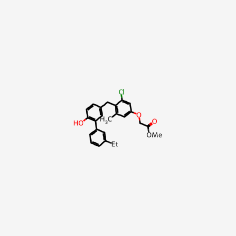 CCc1cccc(-c2cc(Cc3c(C)cc(OCC(=O)OC)cc3Cl)ccc2O)c1